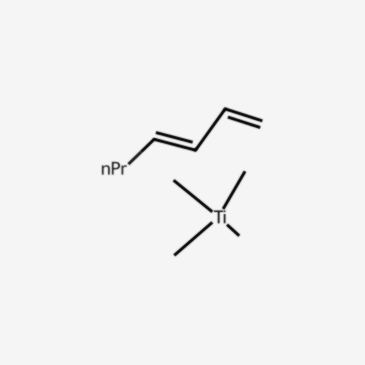 C=CC=CCCC.[CH3][Ti]([CH3])([CH3])[CH3]